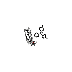 Cc1ccc([S+](c2ccccc2)c2ccc(C)cc2)cc1.O=S(=O)([O-])C(F)(F)C(F)(F)C(F)(F)C(F)(F)C(F)(F)C(F)(F)C(F)(F)C(F)(F)F